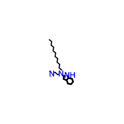 CCCCCCCCCCCCN(CCN(C)C)c1cc2ccccc2[nH]1